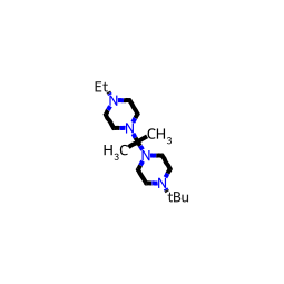 CCN1CCN(C(C)(C)N2CCN(C(C)(C)C)CC2)CC1